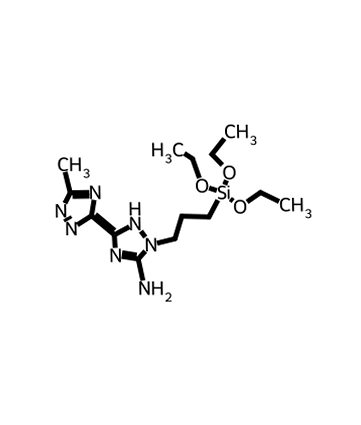 CCO[Si](CCCN1NC(=C2N=NC(C)=N2)N=C1N)(OCC)OCC